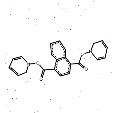 O=C(ON1C=CC=CC1)c1ccc(C(=O)ON2C=CC=CC2)c2ccccc12